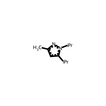 Cc1cc(C(C)C)n(C(C)C)n1